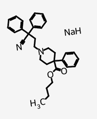 CCCCOC(=O)C1(c2ccccc2)CCN(CCC(C#N)(c2ccccc2)c2ccccc2)CC1.[NaH]